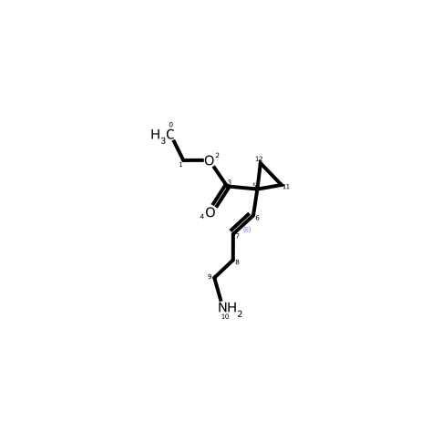 CCOC(=O)C1(/C=C/CCN)CC1